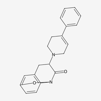 O=C1C(N2CC=C(c3ccccc3)CC2)Cc2cc3ccc2N1O3